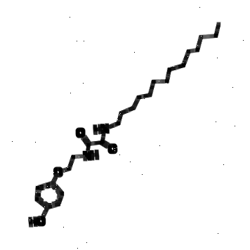 CCCCCCCCCCCCCCNC(=O)C(=O)NCCOc1ccc(O)cc1